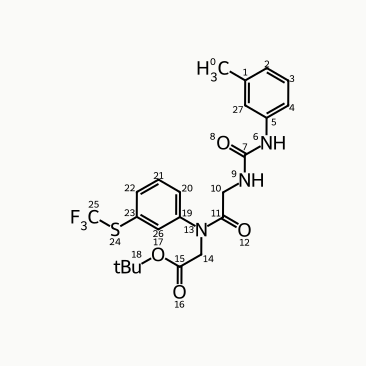 Cc1cccc(NC(=O)NCC(=O)N(CC(=O)OC(C)(C)C)c2cccc(SC(F)(F)F)c2)c1